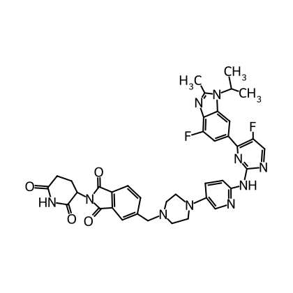 Cc1nc2c(F)cc(-c3nc(Nc4ccc(N5CCN(Cc6ccc7c(c6)C(=O)N(C6CCC(=O)NC6=O)C7=O)CC5)cn4)ncc3F)cc2n1C(C)C